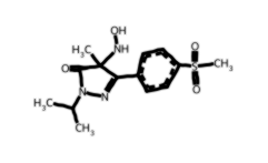 CC(C)N1N=C(c2ccc(S(C)(=O)=O)cc2)C(C)(NO)C1=O